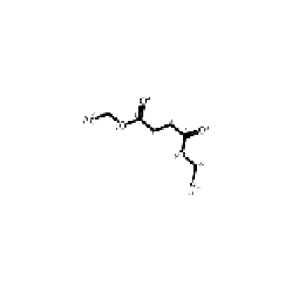 CC(=O)COC(=O)CCC(=O)OCC(C)=O